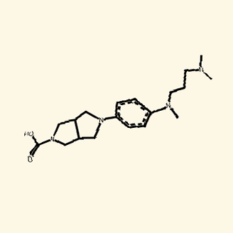 CN(C)CCCN(C)c1ccc(N2CC3CN(C(=O)O)CC3C2)cc1